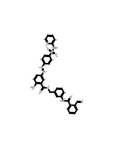 O=Cc1ccccc1C(=O)Nc1cccc(COC(=O)c2cc(/N=N/c3ccc(S(=O)(=O)Nc4ccccn4)cc3)ccc2O)c1